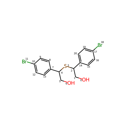 OCC(SC(CO)c1ccc(Br)cc1)c1ccc(Br)cc1